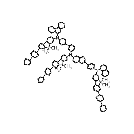 CC1(C)c2cc(-c3ccc(-c4ccccc4)cc3)ccc2-c2ccc(N(c3cccc(-c4ccc(N(c5ccc6c(c5)C(C)(C)c5cc(-c7ccc(-c8ccccc8)cc7)ccc5-6)c5cc6ccccc6c6ccccc56)cc4)c3)c3ccc4cc(-c5ccc(N(c6ccc7c(c6)C(C)(C)c6cc(-c8ccc(-c9ccccc9)cc8)ccc6-7)c6cccc7ccccc67)cc5)ccc4c3)cc21